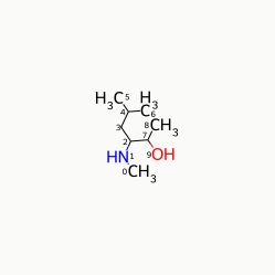 CNC(CC(C)C)C(C)O